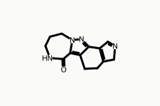 O=C1NCCCn2nc3c(c21)CCC1=C3C=NC1